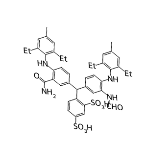 CCc1cc(C)cc(CC)c1Nc1ccc(C(c2ccc(Nc3c(CC)cc(C)cc3CC)c(C(N)=O)c2)c2ccc(S(=O)(=O)O)cc2S(=O)(=O)O)cc1NC=O